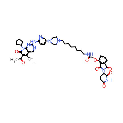 CC(=O)c1c(C)c2cnc(Nc3ccc(N4CCN(CCCCCCCCNC(=O)COc5cccc6c5C(=O)N(C5CCC(=O)NC5=O)C6=O)CC4)cn3)nc2n(C2CCCC2)c1=O